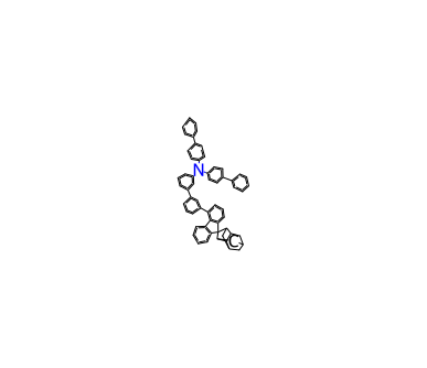 c1ccc(-c2ccc(N(c3ccc(-c4ccccc4)cc3)c3cccc(-c4cccc(-c5cccc6c5-c5ccccc5C65C6CC7CC8CC6C7C5C8)c4)c3)cc2)cc1